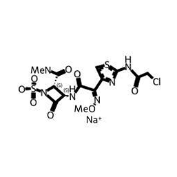 CNC(=O)[C@@H]1[C@H](NC(=O)C(=NOC)c2csc(NC(=O)CCl)n2)C(=O)N1S(=O)(=O)[O-].[Na+]